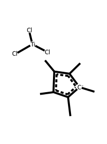 Cc1c(C)c(C)[c-](C)c1C.[Cl][Ti]([Cl])[Cl]